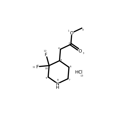 COC(=O)CC1CCNCC1(F)F.Cl